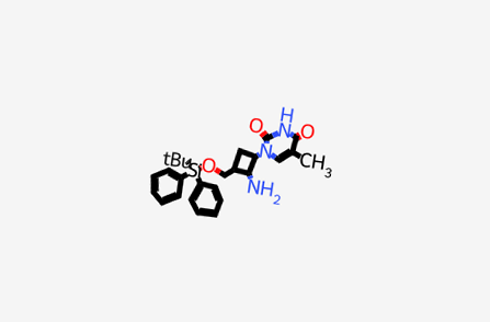 Cc1cn(C2CC(CO[Si](c3ccccc3)(c3ccccc3)C(C)(C)C)C2N)c(=O)[nH]c1=O